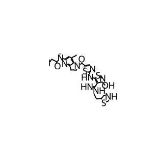 Cc1cc(N(C)C(=O)CI)nc2c1N(C(=O)c1cnc(Nc3snc(O)c3C(=N)NCCC3CNCS3)s1)CC2